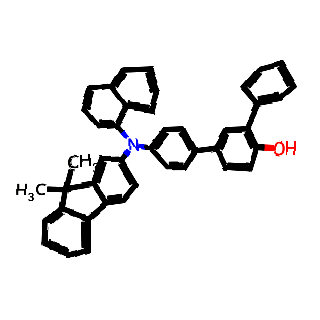 CC1(C)c2ccccc2-c2ccc(N(c3ccc(-c4ccc(O)c(-c5ccccc5)c4)cc3)c3cccc4ccccc34)cc21